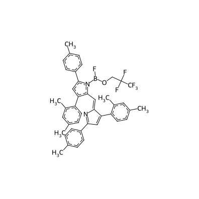 Cc1ccc(C2=N/C(=C\c3c(-c4ccc(C)cc4C)cc(-c4ccc(C)cc4)n3B(F)OCC(F)(F)C(F)(F)F)C(c3ccc(C)cc3C)=C2)cc1